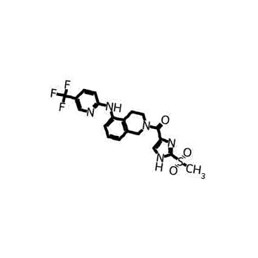 CS(=O)(=O)c1nc(C(=O)N2CCc3c(cccc3Nc3ccc(C(F)(F)F)cn3)C2)c[nH]1